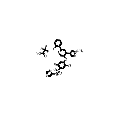 Cn1cc(-c2cc(-c3ccccc3F)ncc2Oc2cc(F)c(S(=O)(=O)Nc3cscn3)cc2Cl)cn1.O=C(O)C(F)(F)F